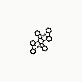 c1ccc2c(c1)B1c3c-2cccc3-c2c3c4ccccc4n4c3c(c3c5ccccc5n1c23)-c1cccc2c1B4c1ccccc1-2